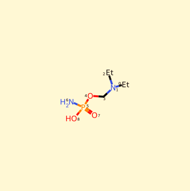 CCN(CC)COP(N)(=O)O